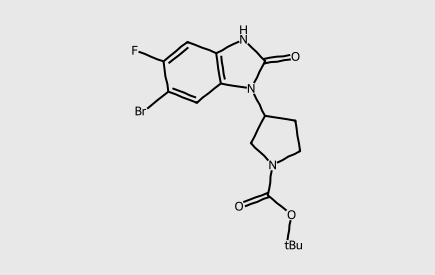 CC(C)(C)OC(=O)N1CCC(n2c(=O)[nH]c3cc(F)c(Br)cc32)C1